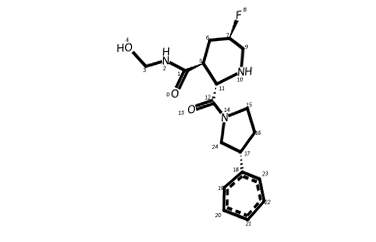 O=C(NCO)[C@H]1C[C@@H](F)CN[C@@H]1C(=O)N1CC[C@H](c2ccccc2)C1